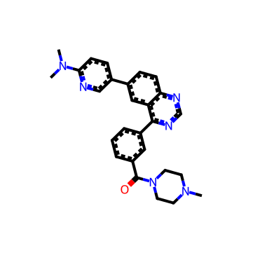 CN1CCN(C(=O)c2cccc(-c3ncnc4ccc(-c5ccc(N(C)C)nc5)cc34)c2)CC1